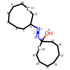 OC1(/N=N/C2CCCCCCCC2)CCCCCCCC1